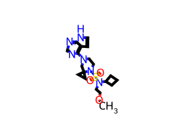 COCCN(C1CCC1)S(=O)(=O)N1CCN(c2ncnc3[nH]ccc23)CC12CC2